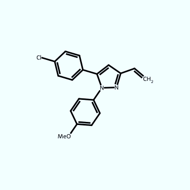 C=Cc1cc(-c2ccc(Cl)cc2)n(-c2ccc(OC)cc2)n1